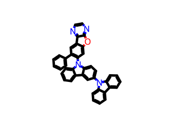 c1ccc(-c2cc3c(cc2-n2c4ccccc4c4cc(-n5c6ccccc6c6ccccc65)ccc42)oc2nccnc23)cc1